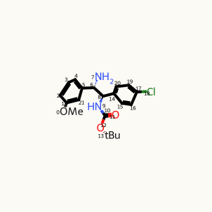 COc1cccc([C@H](N)[C@H](NC(=O)OC(C)(C)C)c2ccc(Cl)cc2)c1